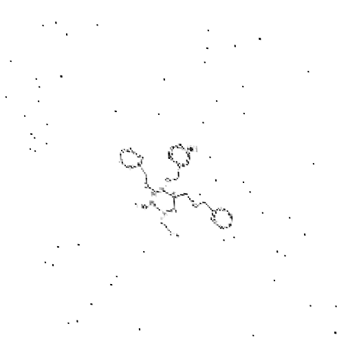 Cl.O[C@@H]1[C@@H](OCc2ccccc2)[C@H](OCc2ccccc2)[C@@H](COCc2ccccc2)O[C@@H]1[CH2][Hg]